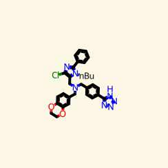 CCCCn1c(-c2ccccc2)nc(Cl)c1CN(Cc1ccc(-c2nnn[nH]2)cc1)Cc1ccc2c(c1)OCCO2